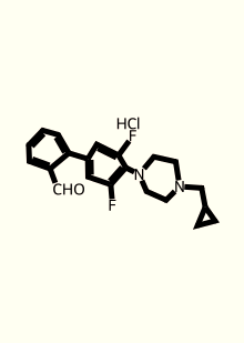 Cl.O=Cc1ccccc1-c1cc(F)c(N2CCN(CC3CC3)CC2)c(F)c1